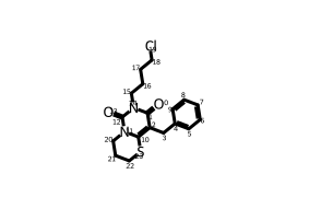 O=c1c(Cc2ccccc2)c2n(c(=O)n1CCCCCl)CCCS2